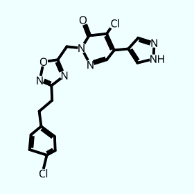 O=c1c(Cl)c(-c2cn[nH]c2)cnn1Cc1nc(CCc2ccc(Cl)cc2)no1